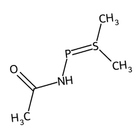 CC(=O)NP=S(C)C